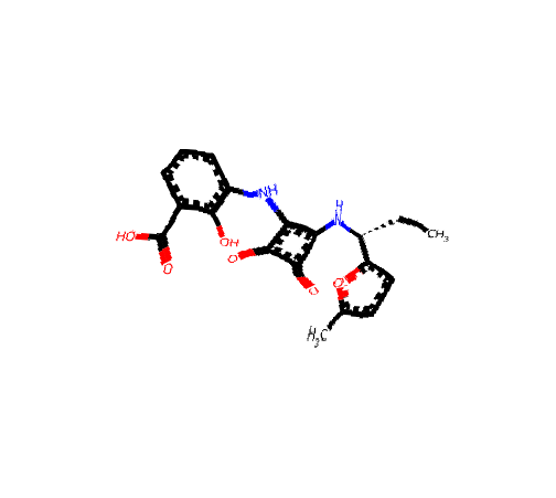 CC[C@@H](Nc1c(Nc2cccc(C(=O)O)c2O)c(=O)c1=O)c1ccc(C)o1